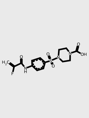 C=C(F)C(=O)Nc1ccc(S(=O)(=O)N2CCN(C(=O)O)CC2)cc1